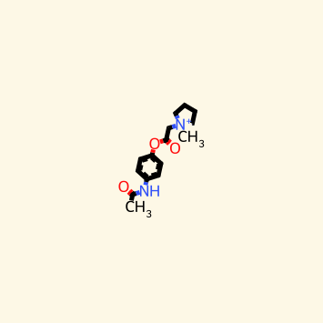 CC(=O)Nc1ccc(OC(=O)C[N+]2(C)CCCC2)cc1